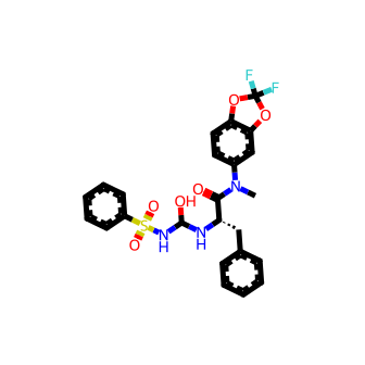 CN(C(=O)[C@H](Cc1ccccc1)NC(O)NS(=O)(=O)c1ccccc1)c1ccc2c(c1)OC(F)(F)O2